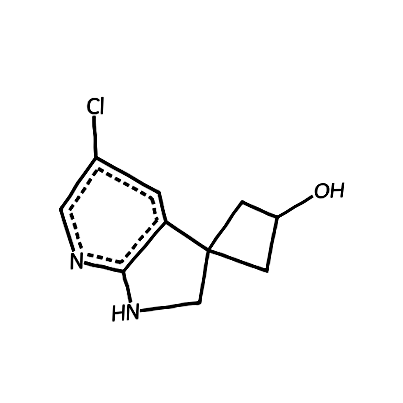 OC1CC2(CNc3ncc(Cl)cc32)C1